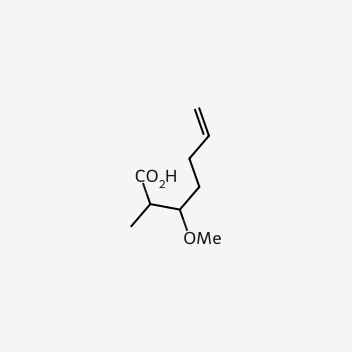 C=CCCC(OC)C(C)C(=O)O